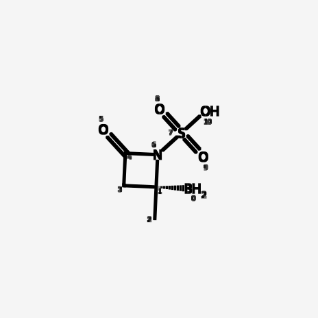 B[C@]1(C)CC(=O)N1S(=O)(=O)O